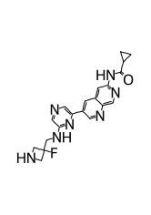 O=C(Nc1cc2cc(-c3cncc(NCC4(F)CNC4)n3)cnc2cn1)C1CC1